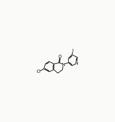 O=C1c2ccc(Cl)cc2CCN1c1cncc(I)c1